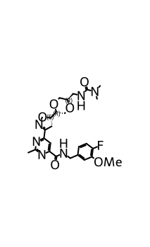 COc1cc(CNC(=O)c2cc(C3=NO[C@H]([C@H]4CO[C@H](CNC(=O)N(C)C)CO4)C3)nc(C)n2)ccc1F